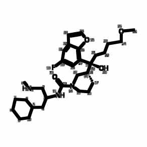 CNCC(CC1CCCCC1)NC(=O)N1CCC[C@@H]([C@@](O)(CCCCOC)c2cc(F)cc3ccoc23)C1